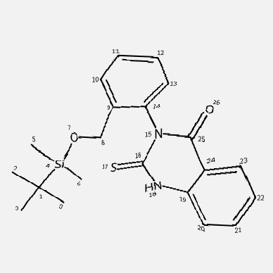 CC(C)(C)[Si](C)(C)OCc1ccccc1-n1c(=S)[nH]c2ccccc2c1=O